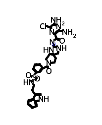 Nc1nc(N)c(C(=O)/N=C2\NCC3(CCN(C(=O)c4cccc(S(=O)(=O)NCCc5c[nH]c6ccccc56)c4)CC3)N2)nc1Cl